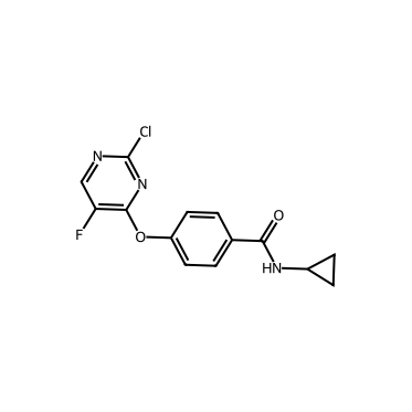 O=C(NC1CC1)c1ccc(Oc2nc(Cl)ncc2F)cc1